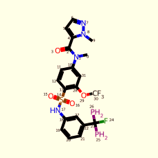 CN(C(=O)c1ccnn1C)c1ccc(S(=O)(=O)Nc2cccc(C(F)(P)P)c2)c(OC(F)(F)F)c1